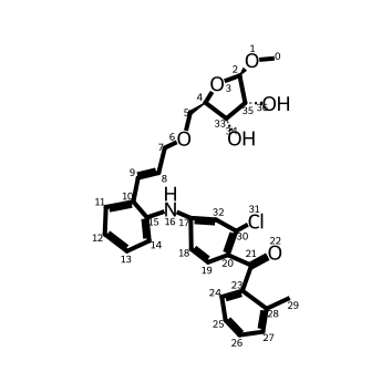 CO[C@@H]1O[C@H](COC/C=C/c2ccccc2Nc2ccc(C(=O)c3ccccc3C)c(Cl)c2)[C@@H](O)[C@H]1O